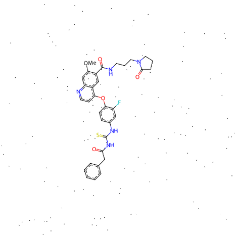 COc1cc2nccc(Oc3ccc(NC(=S)NC(=O)Cc4ccccc4)cc3F)c2cc1C(=O)NCCCN1CCCC1=O